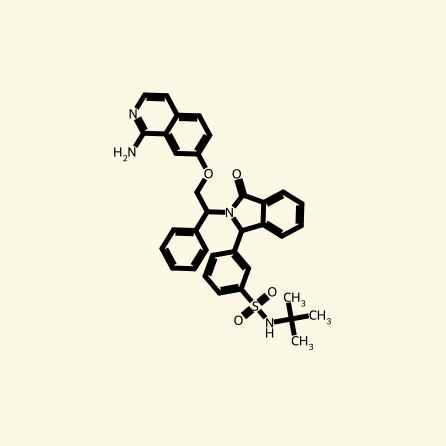 CC(C)(C)NS(=O)(=O)c1cccc(C2c3ccccc3C(=O)N2C(COc2ccc3ccnc(N)c3c2)c2ccccc2)c1